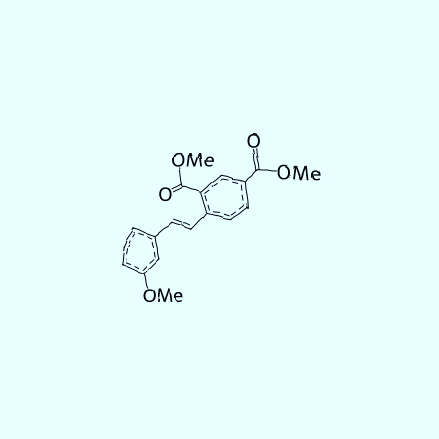 COC(=O)c1ccc(/C=C/c2cccc(OC)c2)c(C(=O)OC)c1